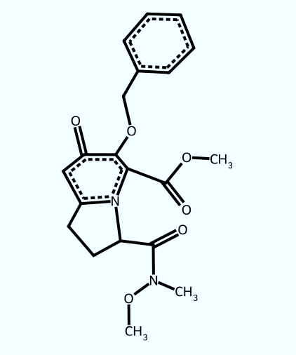 COC(=O)c1c(OCc2ccccc2)c(=O)cc2n1C(C(=O)N(C)OC)CC2